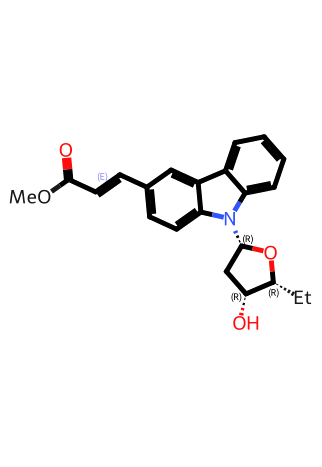 CC[C@H]1O[C@@H](n2c3ccccc3c3cc(/C=C/C(=O)OC)ccc32)C[C@H]1O